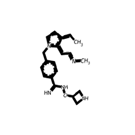 C/C=c1/ccn(Cc2ccc(C(=N)NOC3CNC3)cc2)/c1=C/C=N/C